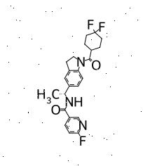 C[C@@H](NC(=O)c1ccc(F)nc1)c1ccc2c(c1)CCN2C(=O)C1CCC(F)(F)CC1